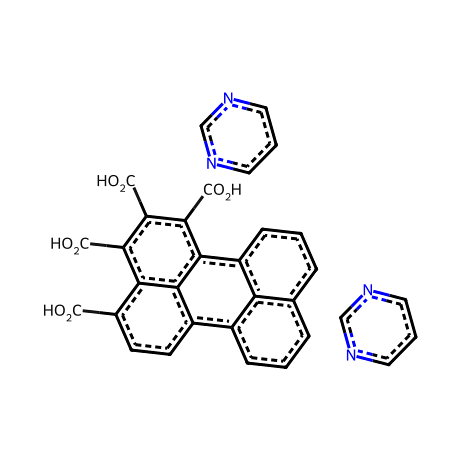 O=C(O)c1c(C(=O)O)c2c(C(=O)O)ccc3c4cccc5cccc(c(c1C(=O)O)c23)c54.c1cncnc1.c1cncnc1